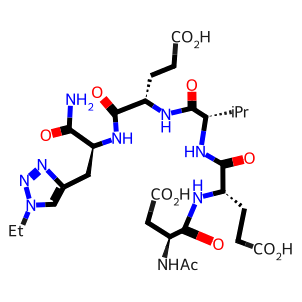 CCn1cc(C[C@H](NC(=O)[C@H](CCC(=O)O)NC(=O)[C@@H](NC(=O)[C@H](CCC(=O)O)NC(=O)[C@H](CC(=O)O)NC(C)=O)C(C)C)C(N)=O)nn1